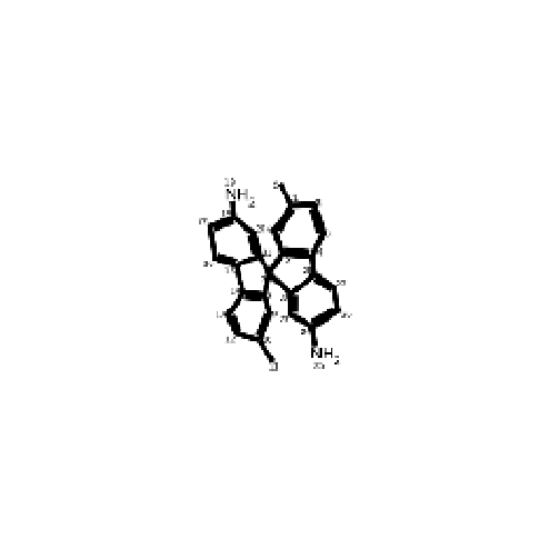 Cc1ccc2c(c1)C1(c3cc(C)ccc3-c3ccc(N)cc31)c1cc(N)ccc1-2